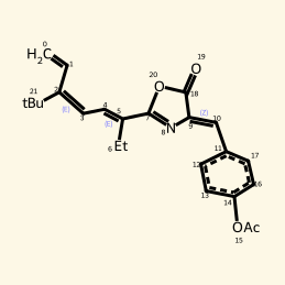 C=C/C(=C\C=C(/CC)C1=N/C(=C\c2ccc(OC(C)=O)cc2)C(=O)O1)C(C)(C)C